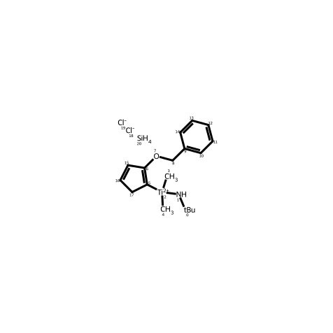 CC(C)(C)[NH][Ti+2]([CH3])([CH3])[C]1=C(OCc2ccccc2)C=CC1.[Cl-].[Cl-].[SiH4]